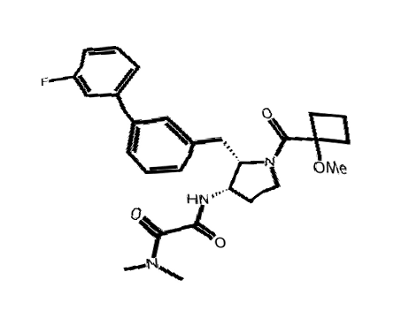 COC1(C(=O)N2CC[C@H](NC(=O)C(=O)N(C)C)[C@@H]2Cc2cccc(-c3cccc(F)c3)c2)CCC1